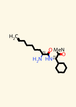 C=CCCCCC[C@H](N)C(=O)N[C@H](C(=O)NC)C1CCCCC1